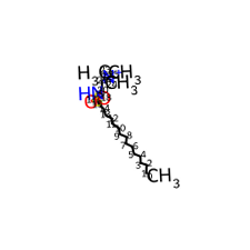 CCCCCCCCCCCCCCCCS(=O)(=O)NCC[N+](C)(C)C